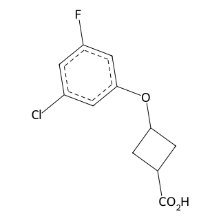 O=C(O)C1CC(Oc2cc(F)cc(Cl)c2)C1